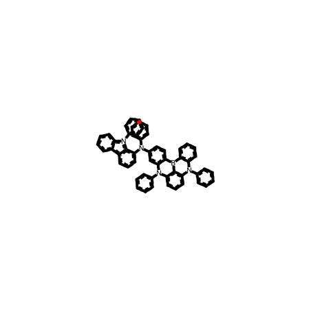 c1ccc(N2c3ccccc3B3c4ccc(N(c5ccccc5)c5cccc6c7ccccc7n(-c7ccccc7)c56)cc4N(c4ccccc4)c4cccc2c43)cc1